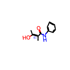 C/C(O)=C(/C)C(=O)Nc1ccccc1